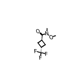 CON(C)C(=O)[C@H]1C[C@H](C(F)(F)F)C1